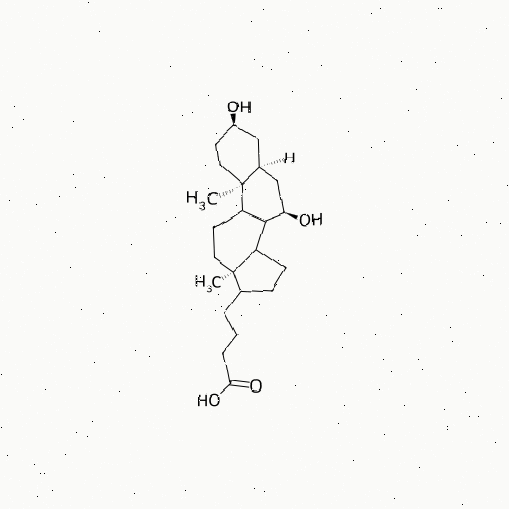 C[C@]12CCC3C(C1CCC2CCCC(=O)O)[C@H](O)C[C@@H]1C[C@H](O)CC[C@]31C